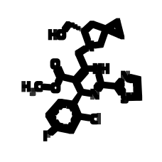 COC(=O)C1=C(CN2CC3(CC3)C[C@H]2CO)NC(c2nccs2)=N[C@H]1c1ccc(F)cc1Cl